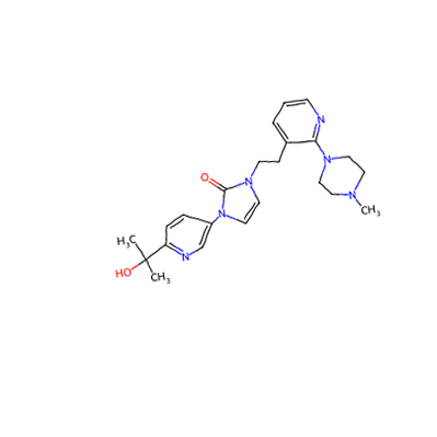 CN1CCN(c2ncccc2CCn2ccn(-c3ccc(C(C)(C)O)nc3)c2=O)CC1